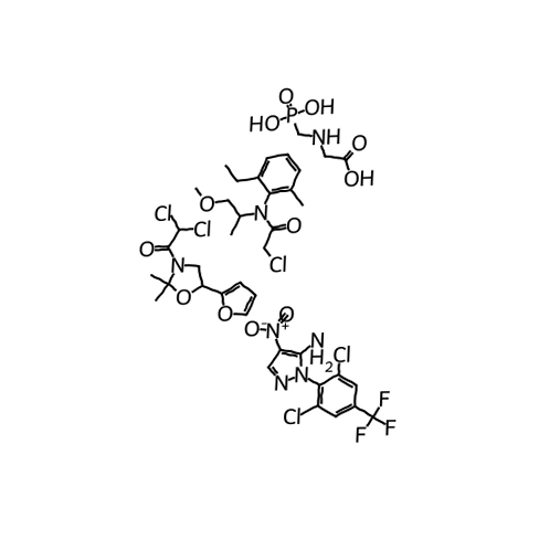 CC1(C)OC(c2ccco2)CN1C(=O)C(Cl)Cl.CCc1cccc(C)c1N(C(=O)CCl)C(C)COC.Nc1c([N+](=O)[O-])cnn1-c1c(Cl)cc(C(F)(F)F)cc1Cl.O=C(O)CNCP(=O)(O)O